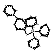 c1ccc(-c2ccc(S[P+](c3ccccc3)(c3ccccc3)c3ccccc3)cc2)cc1